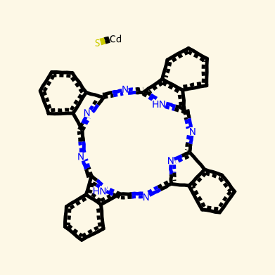 [S]=[Cd].c1ccc2c(c1)-c1nc-2nc2[nH]c(nc3nc(nc4[nH]c(n1)c1ccccc41)-c1ccccc1-3)c1ccccc21